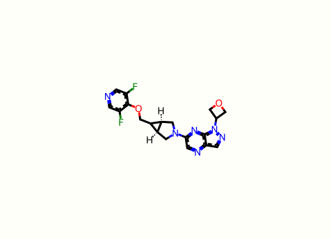 Fc1cncc(F)c1OCC1[C@H]2CN(c3cnc4cnn(C5COC5)c4n3)C[C@@H]12